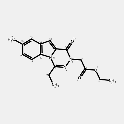 CCOC(=O)Cn1nc(CC)n2c(cc3cc(C)ccc32)c1=O